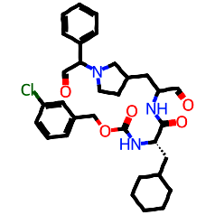 O=CC(CC1CCN(C(C=O)c2ccccc2)C1)NC(=O)[C@H](CC1CCCCC1)NC(=O)OCc1cccc(Cl)c1